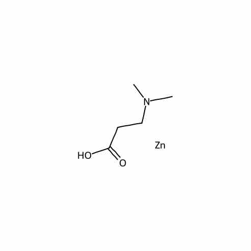 CN(C)CCC(=O)O.[Zn]